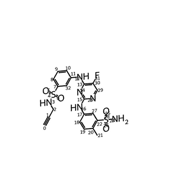 C#CCNS(=O)(=O)c1cccc(Nc2nc(Nc3ccc(C)c(S(N)(=O)=O)c3)ncc2F)c1